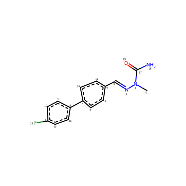 CN(N=Cc1ccc(-c2ccc(F)cc2)cc1)C(N)=O